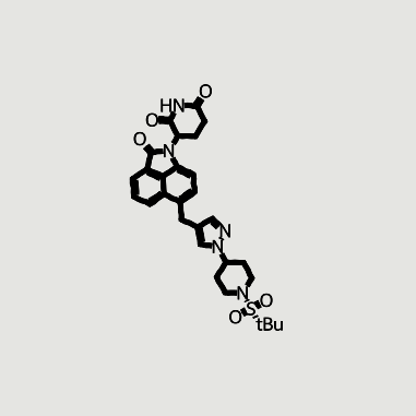 CC(C)(C)S(=O)(=O)N1CCC(n2cc(Cc3ccc4c5c(cccc35)C(=O)N4C3CCC(=O)NC3=O)cn2)CC1